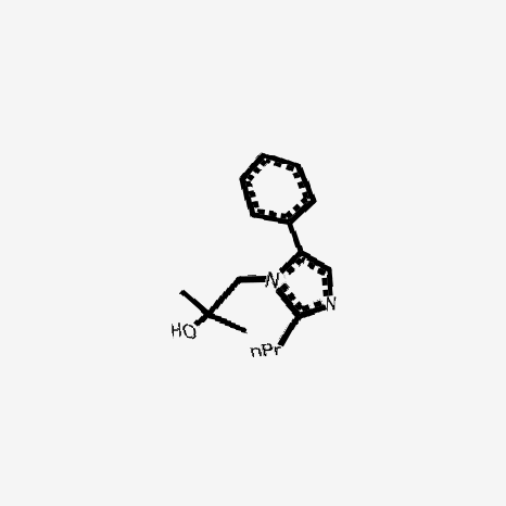 CCCc1ncc(-c2ccccc2)n1CC(C)(C)O